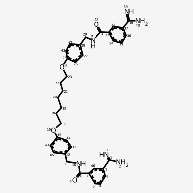 N=C(N)c1cccc(C(=O)NCc2ccc(OCCCCCCCOc3ccc(CNC(=O)c4cccc(C(=N)N)c4)cc3)cc2)c1